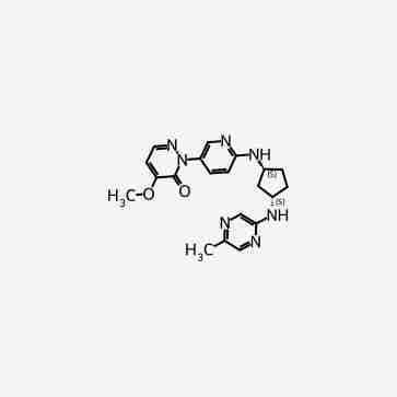 COc1ccnn(-c2ccc(N[C@H]3CC[C@H](Nc4cnc(C)cn4)C3)nc2)c1=O